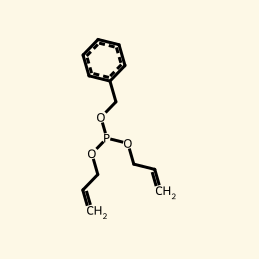 C=CCOP(OCC=C)OCc1ccccc1